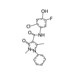 Cc1c(C(=O)Nc2cc(F)c(O)cc2Cl)c(=O)n(C)n1-c1ccccc1